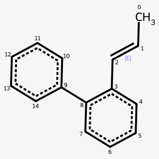 C/C=C/c1ccccc1-c1ccccc1